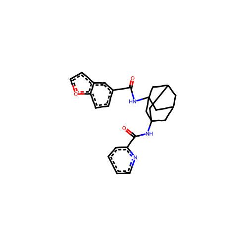 O=C(NC12CC3CC(C1)CC(NC(=O)c1ccccn1)(C3)C2)c1ccc2occc2c1